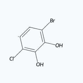 Oc1c(Cl)[c]cc(Br)c1O